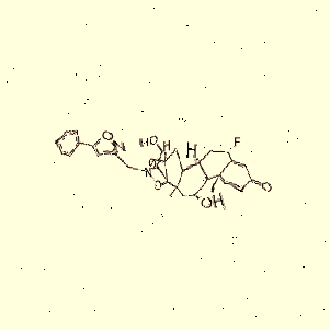 C[C@]12C=CC(=O)C=C1[C@@H](F)C[C@@H]1C2[C@@H](O)C[C@@]2(C)C1C[C@H]1CN(Cc3cc(-c4ccccc4)on3)O[C@]12C(=O)CO